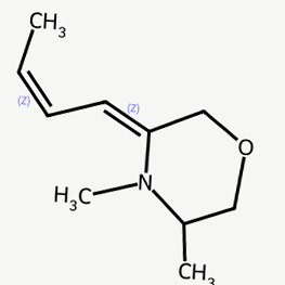 C/C=C\C=C1\COCC(C)N1C